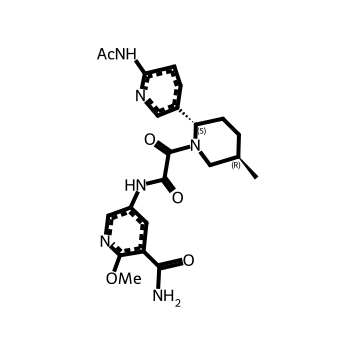 COc1ncc(NC(=O)C(=O)N2C[C@H](C)CC[C@H]2c2ccc(NC(C)=O)nc2)cc1C(N)=O